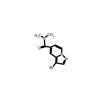 CN(C)C(=O)c1ccn2ncc(Br)c2c1